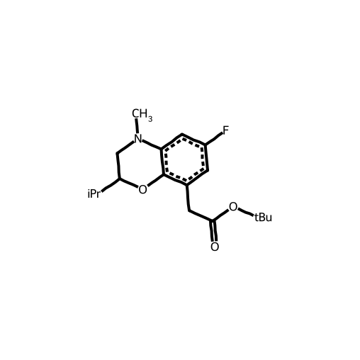 CC(C)C1CN(C)c2cc(F)cc(CC(=O)OC(C)(C)C)c2O1